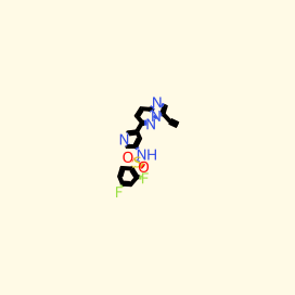 C#Cc1cnc2ccc(-c3cncc(NS(=O)(=O)c4ccc(F)cc4F)c3)nn12